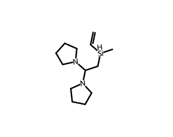 C=C[SiH](C)CC(N1CCCC1)N1CCCC1